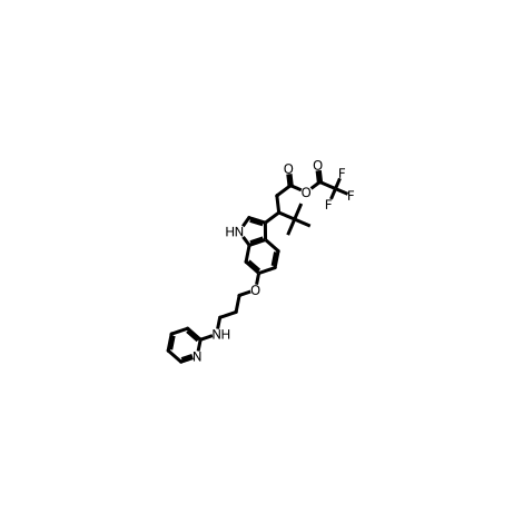 CC(C)(C)C(CC(=O)OC(=O)C(F)(F)F)c1c[nH]c2cc(OCCCNc3ccccn3)ccc12